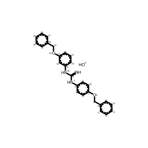 Cl.N=C(Nc1ccc(OCc2ccccc2)cc1)Nc1cccc(OCc2ccccc2)c1